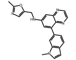 Cc1ncc(CNc2cc(-c3ccc4ccn(C)c4c3)c3nccnc3c2)o1